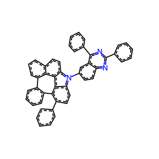 c1ccc(-c2nc(-c3ccccc3)c3cc(-n4c5ccc(-c6ccccc6)c6c5c5c7c(cccc7ccc54)-c4ccccc4-6)ccc3n2)cc1